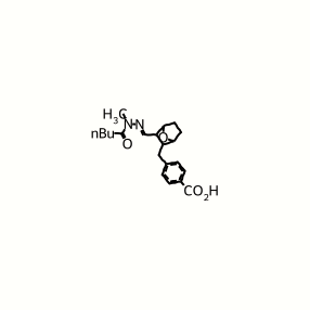 CCCCC(=O)N(C)N=CC1C2CCC(O2)C1Cc1ccc(C(=O)O)cc1